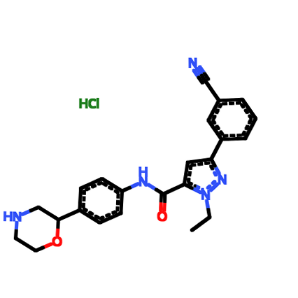 CCn1nc(-c2cccc(C#N)c2)cc1C(=O)Nc1ccc(C2CNCCO2)cc1.Cl